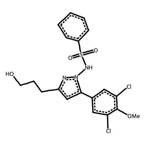 COc1c(Cl)cc(-c2cc(CCCO)nn2NS(=O)(=O)c2ccccc2)cc1Cl